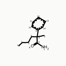 CCCCC(C)(C(N)=O)c1ccccc1